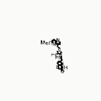 COc1ccc2nccc(CCN3C[C@H](CNCc4ccc5c(n4)NC(=O)CO5)[C@H](O)C3)c2n1